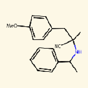 COc1ccc(CC(C)(C#N)NC(C)c2ccccc2)cc1